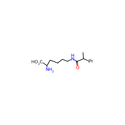 CC(C)C(C)C(=O)NCCCCC(N)C(=O)O